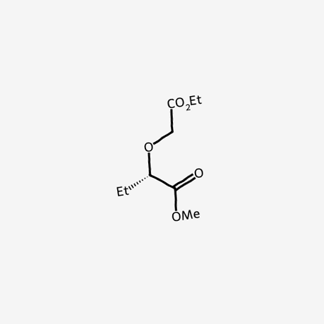 CCOC(=O)CO[C@@H](CC)C(=O)OC